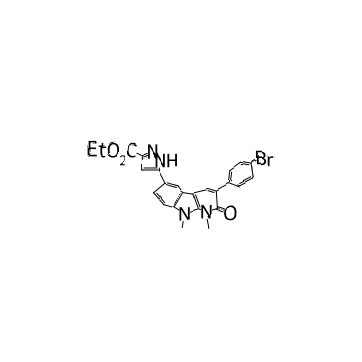 CCOC(=O)c1cc(-c2ccc3c(c2)c2cc(-c4ccc(Br)cc4)c(=O)n(C)c2n3C)[nH]n1